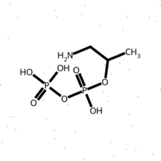 CC(CN)OP(=O)(O)OP(=O)(O)O